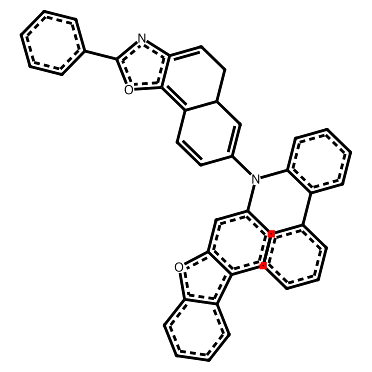 C1=CC2=c3oc(-c4ccccc4)nc3=CCC2C=C1N(c1ccc2c(c1)oc1ccccc12)c1ccccc1-c1ccccc1